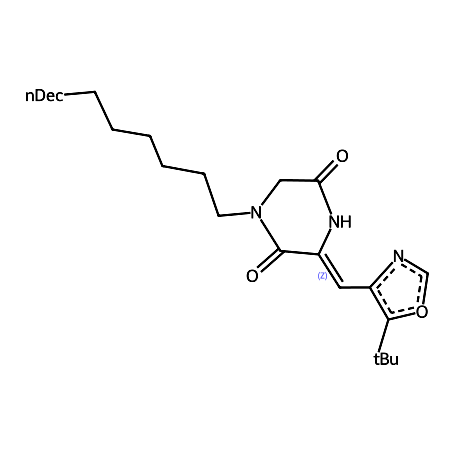 CCCCCCCCCCCCCCCCN1CC(=O)N/C(=C\c2ncoc2C(C)(C)C)C1=O